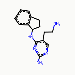 NCCc1cnc(N)nc1NC1CCc2ccccc21